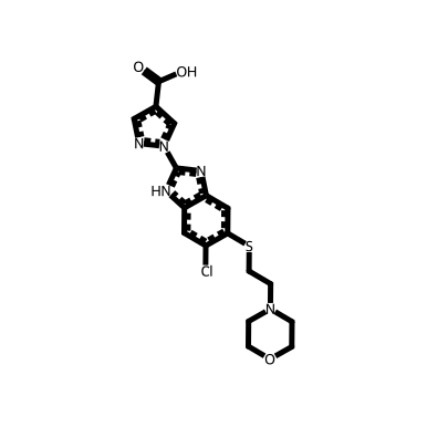 O=C(O)c1cnn(-c2nc3cc(SCCN4CCOCC4)c(Cl)cc3[nH]2)c1